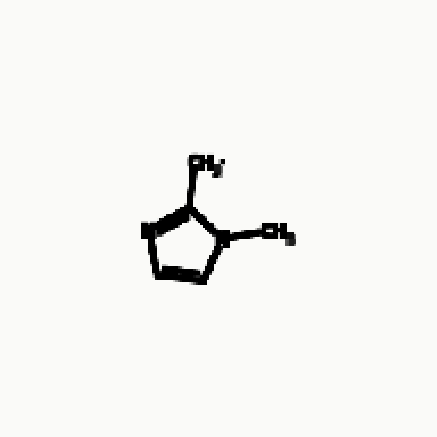 [CH2]c1nccn1C